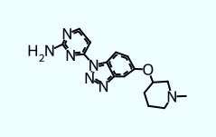 CN1CCCC(Oc2ccc3c(c2)nnn3-c2ccnc(N)n2)C1